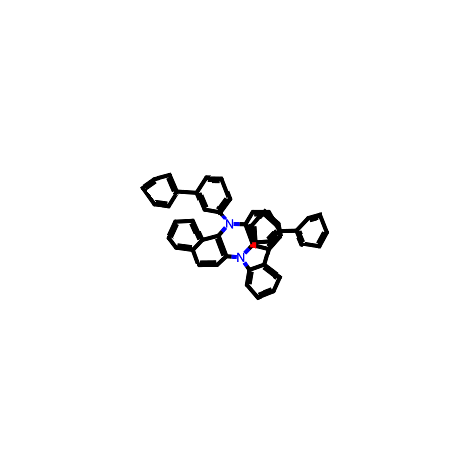 c1ccc(-c2ccc(N(c3cccc(-c4ccccc4)c3)c3c(-n4c5ccccc5c5ccccc54)ccc4ccccc34)cc2)cc1